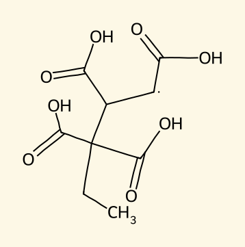 CCC(C(=O)O)(C(=O)O)C([CH]C(=O)O)C(=O)O